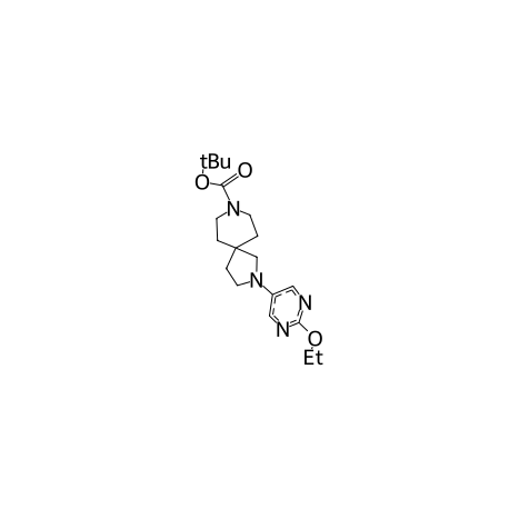 CCOc1ncc(N2CCC3(CCN(C(=O)OC(C)(C)C)CC3)C2)cn1